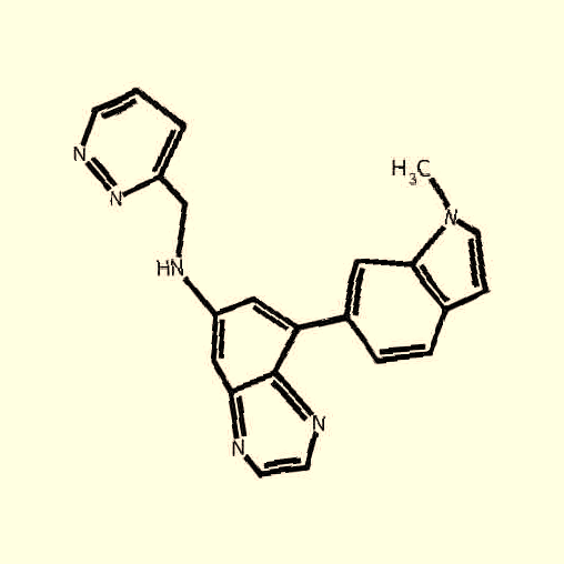 Cn1ccc2ccc(-c3cc(NCc4cccnn4)cc4nccnc34)cc21